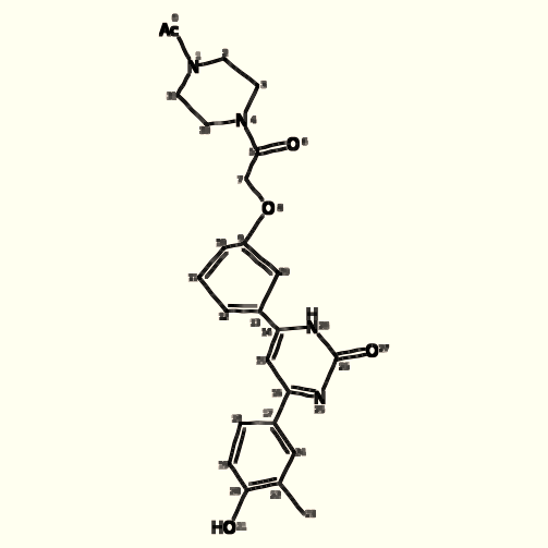 CC(=O)N1CCN(C(=O)COc2cccc(-c3cc(-c4ccc(O)c(C)c4)nc(=O)[nH]3)c2)CC1